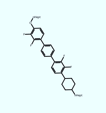 CCCCCCCOc1ccc(-c2ccc(-c3ccc(C4CCC(CCCCCCC)CC4)c(F)c3F)cc2)c(F)c1F